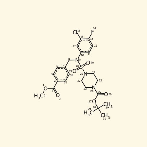 COC(=O)c1ccc(CN(c2ccc(F)c(Cl)c2)S(=O)(=O)N2CCN(C(=O)OC(C)(C)C)CC2)cc1